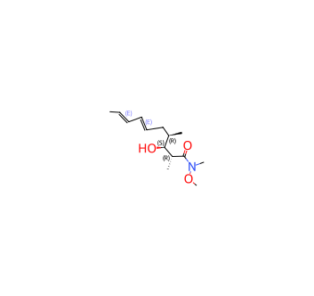 C/C=C/C=C/C[C@@H](C)[C@H](O)[C@@H](C)C(=O)N(C)OC